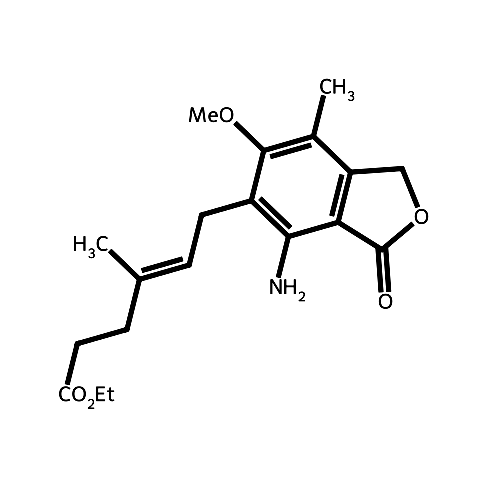 CCOC(=O)CC/C(C)=C/Cc1c(N)c2c(c(C)c1OC)COC2=O